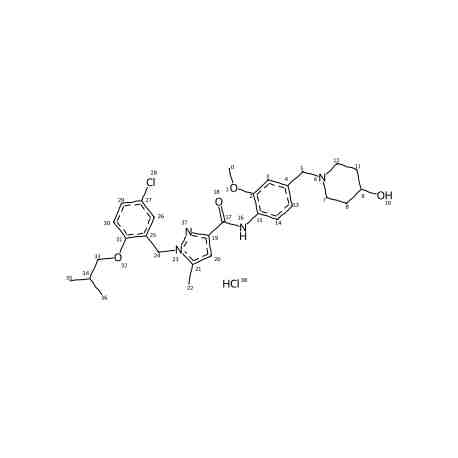 COc1cc(CN2CCC(O)CC2)ccc1NC(=O)c1cc(C)n(Cc2cc(Cl)ccc2OCC(C)C)n1.Cl